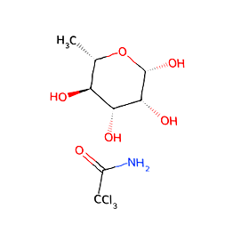 C[C@@H]1O[C@H](O)[C@H](O)[C@H](O)[C@H]1O.NC(=O)C(Cl)(Cl)Cl